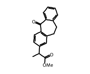 COC(=O)C(C)c1ccc2c(c1)CCc1ccccc1C2=O